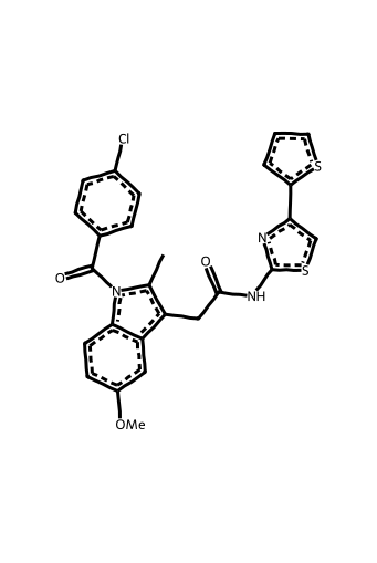 COc1ccc2c(c1)c(CC(=O)Nc1nc(-c3cccs3)cs1)c(C)n2C(=O)c1ccc(Cl)cc1